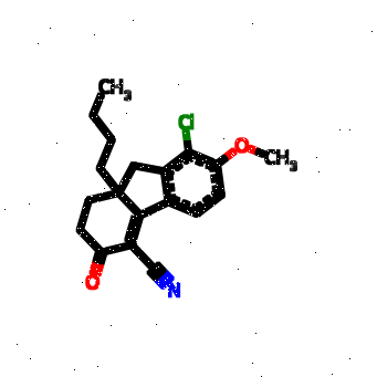 CCCCC12CCC(=O)C(C#N)=C1c1ccc(OC)c(Cl)c1C2